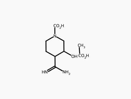 CC(=O)O.N=C(N)C1CCN(C(=O)O)CC1O